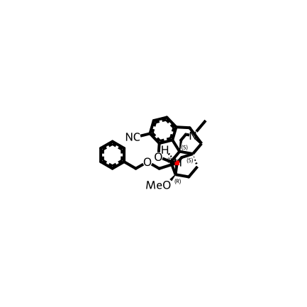 CO[C@]12CC[C@@]3(C[C@@H]1COCc1ccccc1)C1Cc4ccc(C#N)c5c4[C@@]3(CCN1C)[C@H]2O5